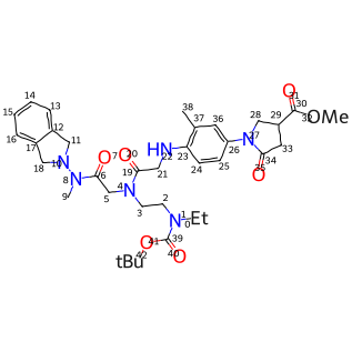 CCN(CCN(CC(=O)N(C)N1Cc2ccccc2C1)C(=O)CNc1ccc(N2CC(C(=O)OC)CC2=O)cc1C)C(=O)OC(C)(C)C